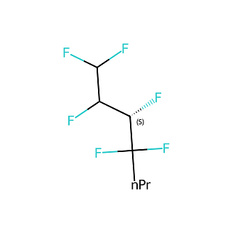 [CH2]CCC(F)(F)[C@@H](F)C(F)C(F)F